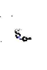 C#Cc1ccc(CN2CCC(COC)CC2)cc1